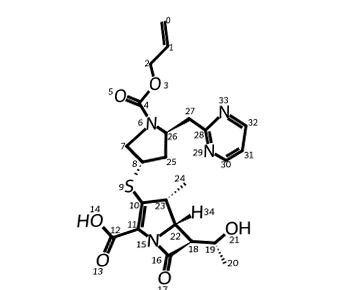 C=CCOC(=O)N1C[C@@H](SC2=C(C(=O)O)N3C(=O)[C@H]([C@@H](C)O)[C@H]3[C@H]2C)C[C@@H]1Cc1ncccn1